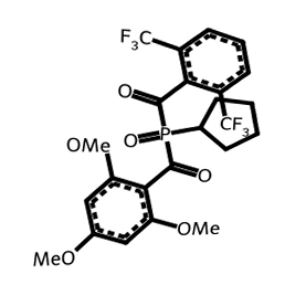 COc1cc(OC)c(C(=O)P(=O)(C(=O)c2c(C(F)(F)F)cccc2C(F)(F)F)C2CCCC2)c(OC)c1